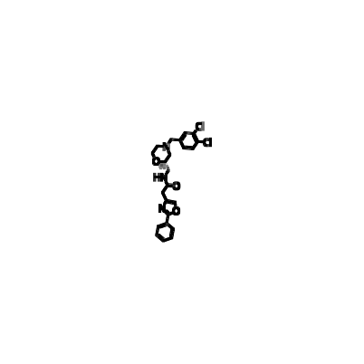 O=C(Cc1coc(-c2ccccc2)n1)NC[C@H]1CN(Cc2ccc(Cl)c(Cl)c2)CCO1